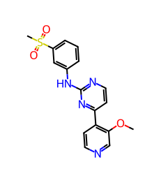 COc1cnccc1-c1ccnc(Nc2cccc(S(C)(=O)=O)c2)n1